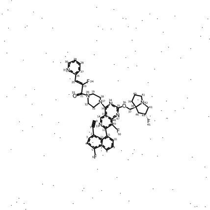 C#Cc1ccc(F)c2cccc(-c3ncc4c(N5CCN(C(=O)/C(F)=C/c6ccccn6)CC5)nc(OC[C@@]56CCCN5C[C@H](F)C6)nc4c3F)c12